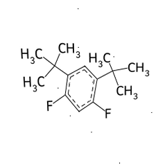 CC(C)(C)c1cc(C(C)(C)C)c(F)cc1F